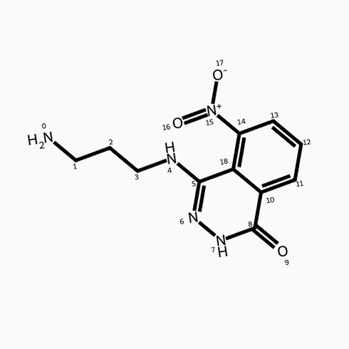 NCCCNc1n[nH]c(=O)c2cccc([N+](=O)[O-])c12